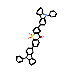 O=C1c2cc(-c3ccc4c(c3)c3ccccc3n4-c3ccccc3)ccc2S(=O)(=O)c2cc(-c3ccc4c(c3)-c3ccccc3C4c3ccccc3)ccc21